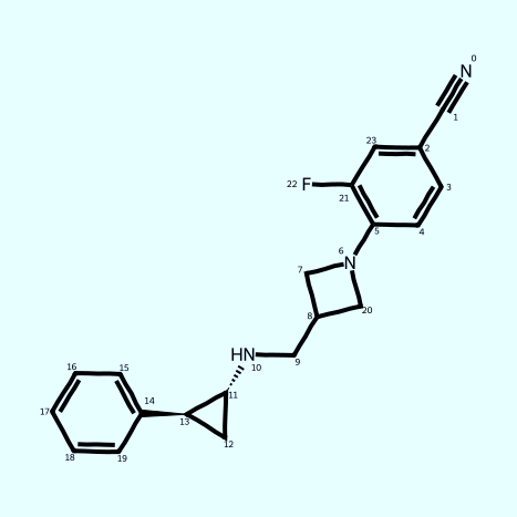 N#Cc1ccc(N2CC(CN[C@@H]3C[C@H]3c3ccccc3)C2)c(F)c1